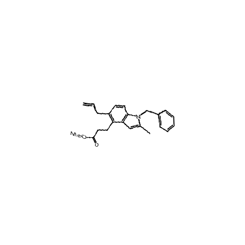 C=CCc1ccc2c(cc(C)n2Cc2ccccc2)c1CCC(=O)OC